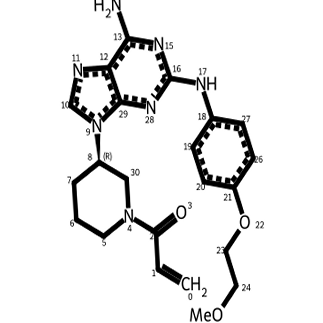 C=CC(=O)N1CCC[C@@H](n2cnc3c(N)nc(Nc4ccc(OCCOC)cc4)nc32)C1